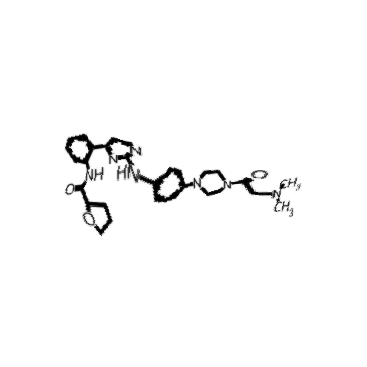 CN(C)CC(=O)N1CCN(c2ccc(Nc3nccc(-c4ccccc4NC(=O)C4CCCO4)n3)cc2)CC1